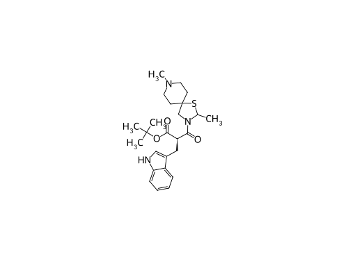 CC1SC2(CCN(C)CC2)CN1C(=O)[C@@H](Cc1c[nH]c2ccccc12)C(=O)OC(C)(C)C